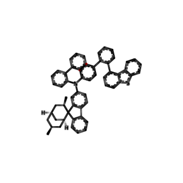 C[C@H]1C[C@@H]2C[C@H](C1)C1(c3ccccc3-c3ccc(N(c4ccc(-c5ccccc5-c5cccc6sc7ccccc7c56)cc4)c4ccccc4-c4ccccc4)cc31)[C@H](C)C2